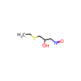 CCSCC(O)CN=O